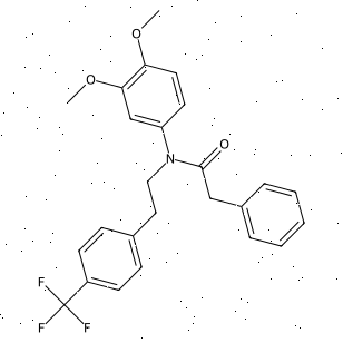 COc1ccc(N(CCc2ccc(C(F)(F)F)cc2)C(=O)Cc2ccccc2)cc1OC